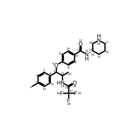 Cc1ccc(C(Oc2ccc(C(=O)N[C@H]3CCCNC3)cc2)C(C)NC(=O)C(F)(F)F)cc1